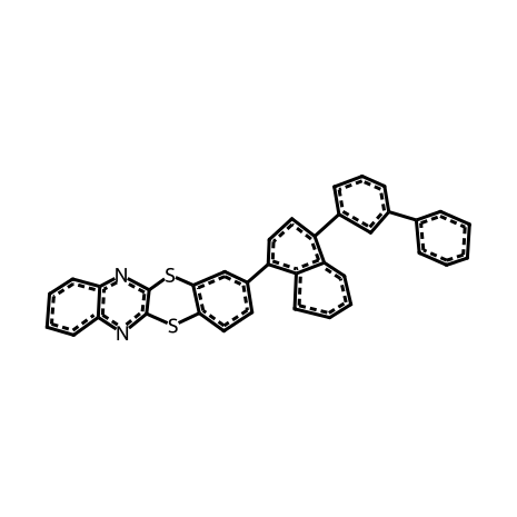 c1ccc(-c2cccc(-c3ccc(-c4ccc5c(c4)Sc4nc6ccccc6nc4S5)c4ccccc34)c2)cc1